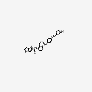 Cn1c(C(=O)Nc2cccc3c2CCCN3Cc2ccc(OCC3CCNC3)cc2)cc2sccc21